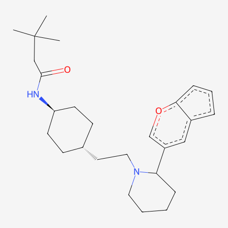 CC(C)(C)CC(=O)N[C@H]1CC[C@H](CCN2CCCCC2c2coc3cccc-3c2)CC1